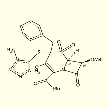 CO[C@H]1C(=O)N2C(C(=O)C(C)(C)C)=C(C)C(Cc3ccccc3)(Sc3nnnn3C)S(=O)(=O)[C@@H]12